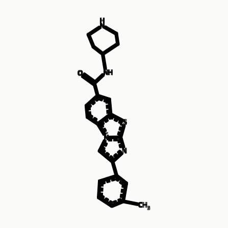 Cc1cccc(-c2cn3c(n2)sc2cc(C(=O)NC4CCNCC4)ccc23)c1